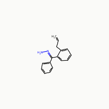 C=CCc1ccccc1C(=NN)c1ccccc1